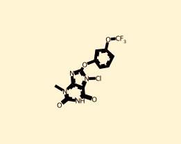 Cn1c(=O)[nH]c(=O)c2c1nc(Oc1cccc(OC(F)(F)F)c1)n2Cl